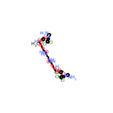 C[C@@H](COCCOCCNC(=O)NCCCCNC(=O)NCCOCCOC[C@H](C)NS(=O)(=O)c1ccc(O[C@H]2c3cc(Cl)cc(Cl)c3C[C@@H]2N2CCC[C@@H](N)C2)cc1)NS(=O)(=O)c1ccc(O[C@H]2c3cc(Cl)cc(Cl)c3C[C@@H]2N2CCC[C@@H](N)C2)cc1